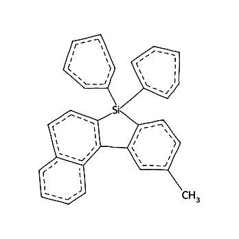 Cc1ccc2c(c1)-c1c(ccc3ccccc13)[Si]2(c1ccccc1)c1ccccc1